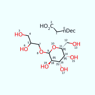 CCCCCCCCCCCC(=O)O.OCC(O)COC1O[C@H](CO)[C@H](O)[C@H](O)[C@H]1O